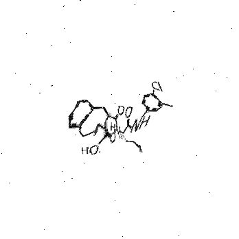 Cc1cc(NC(=O)[C@H](CCI)NC(=O)[C@@H]2Cc3ccccc3CN2C(=O)O)ccc1Cl